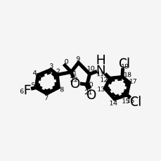 CC1(c2ccc(F)cc2)CC(Nc2ccc(Cl)cc2Cl)C(=O)O1